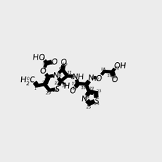 C=CC1=C(OC(=O)O)N2C(=O)C(NC(=O)C(=NOCC(=O)O)c3cscn3)[C@@H]2SC1